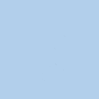 C=C(C)OC(=O)N(C)CCN1Cc2nc(C)c(C(=O)O)c(-c3ccc(Cl)cc3Cl)c2C1=O